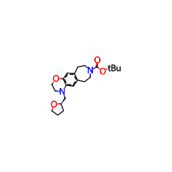 CC(C)(C)OC(=O)N1CCc2cc3c(cc2CC1)N(C[C@H]1CCCO1)CCO3